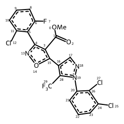 COC(=O)c1c(-c2c(F)cccc2Cl)noc1-c1cnn(-c2cccc(Cl)c2Cl)c1C(F)(F)F